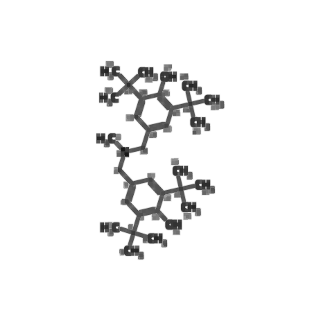 CN(Cc1cc(C(C)(C)C)c(O)c(C(C)(C)C)c1)Cc1cc(C(C)(C)C)c(O)c(C(C)(C)C)c1